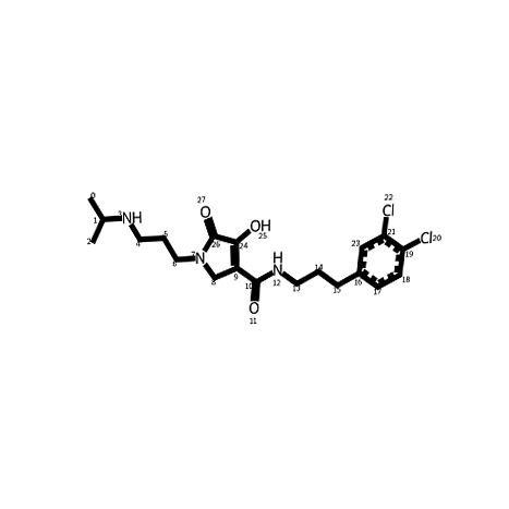 CC(C)NCCCN1CC(C(=O)NCCCc2ccc(Cl)c(Cl)c2)=C(O)C1=O